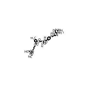 C#COP(=O)(OC#C)OCCCCOC(=O)c1ccc(C)cc1OC(=O)CC[C@H](NC(=O)c1ccc(NCc2cnc3[nH]c(N)nc(=O)c3n2)cc1)C(=O)O